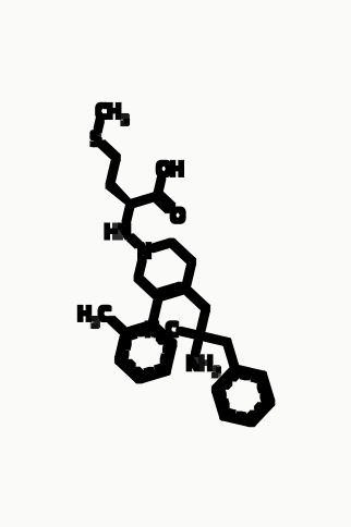 CSCC[C@H](NN1CCC(CC(C)(N)Cc2ccccc2)=C(c2ccccc2C)C1)C(=O)O